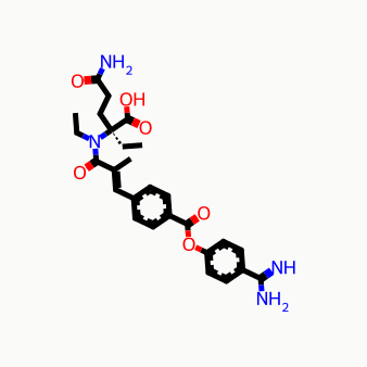 CCN(C(=O)/C(C)=C/c1ccc(C(=O)Oc2ccc(C(=N)N)cc2)cc1)[C@@](CC)(CCC(N)=O)C(=O)O